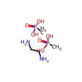 CP(=O)(O)O.CP(=O)(O)O.NCCN